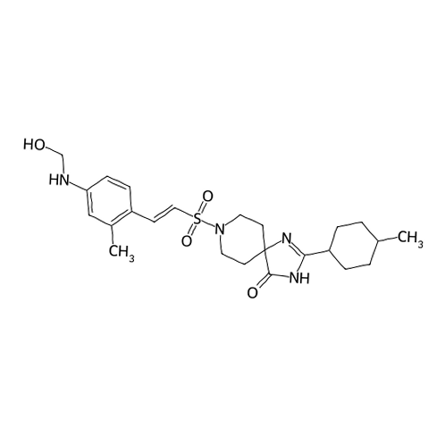 Cc1cc(NCO)ccc1/C=C/S(=O)(=O)N1CCC2(CC1)N=C(C1CCC(C)CC1)NC2=O